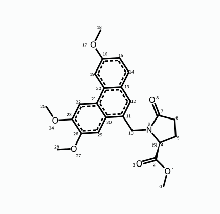 COC(=O)[C@@H]1CCC(=O)N1Cc1cc2ccc(OC)cc2c2cc(OC)c(OC)cc12